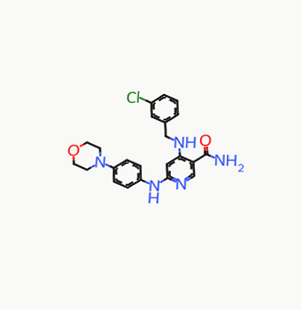 NC(=O)c1cnc(Nc2ccc(N3CCOCC3)cc2)cc1NCc1cccc(Cl)c1